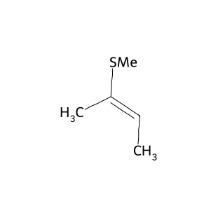 CC=C(C)SC